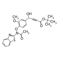 COc1cc(C(O)C#CC(=O)OC(C)(C)C)ccc1ON(C(C)=O)c1nc2ccccc2s1